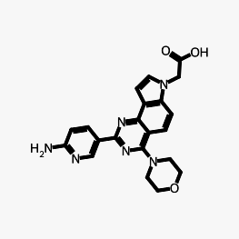 Nc1ccc(-c2nc(N3CCOCC3)c3ccc4c(ccn4CC(=O)O)c3n2)cn1